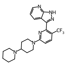 FC(F)(F)c1ccc(N2CCC(N3CCCCC3)CC2)nc1-c1n[nH]c2ncccc12